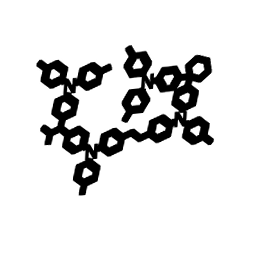 Cc1ccc(N(c2ccc(C)cc2)c2ccc(C(c3ccc(N(c4ccc(C)cc4)c4ccc(CCc5ccc(N(c6ccc(C)cc6)c6ccc(C7(c8ccc(N(c9ccc(C)cc9)c9ccc(C)cc9)cc8)CCCCC7)cc6)cc5)cc4)cc3)C(C)C)cc2)cc1